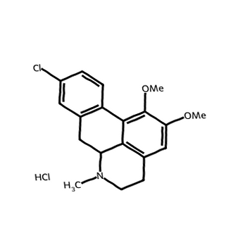 COc1cc2c3c(c1OC)-c1ccc(Cl)cc1CC3N(C)CC2.Cl